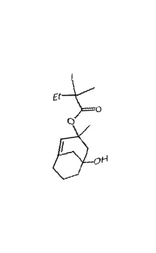 CCC(C)(I)C(=O)OC1(C)C=C2CCCC(O)(C2)C1